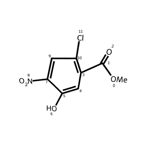 COC(=O)c1cc(O)c([N+](=O)[O-])cc1Cl